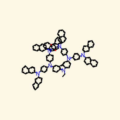 CCn1c2ccc(N(c3ccc(N(c4ccc5ccccc5c4)c4ccc5ccccc5c4)cc3)c3ccc(N(c4ccc5ccccc5c4)c4ccc5ccccc5c4)cc3)cc2c2cc(N(c3ccc(N(c4ccc5ccccc5c4)c4ccc5ccccc5c4)cc3)c3ccc(N(c4ccc5ccccc5c4)c4ccc5ccccc5c4)cc3)ccc21